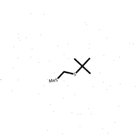 CSCSC(C)(C)C